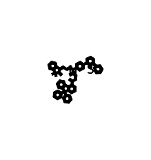 C=C(/C=C\C(=C)N(/C=C/C=C1\C(=C)C(C)(C)c2ccccc21)c1ccc(-c2cccc3c2sc2ccccc23)cc1)c1cccc2c1-c1ccccc1C2(c1ccccc1)c1ccccc1